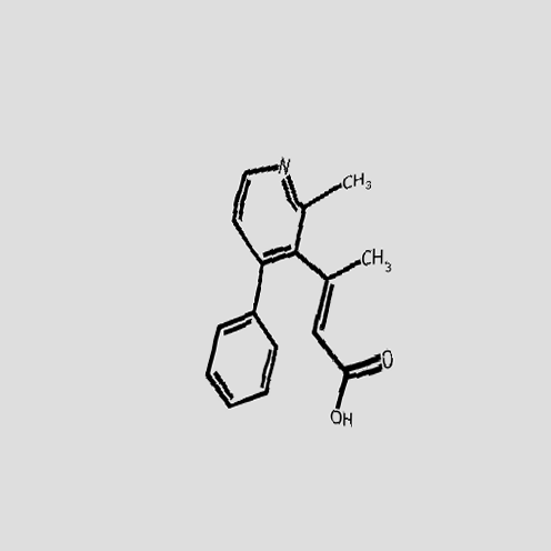 CC(=CC(=O)O)c1c(-c2ccccc2)ccnc1C